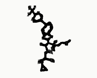 COCCS(=O)(=O)C(C(=O)NCC(=O)NC1CC1)c1nc2ccc(-c3cnc(C(F)(F)F)nc3)cc2s1